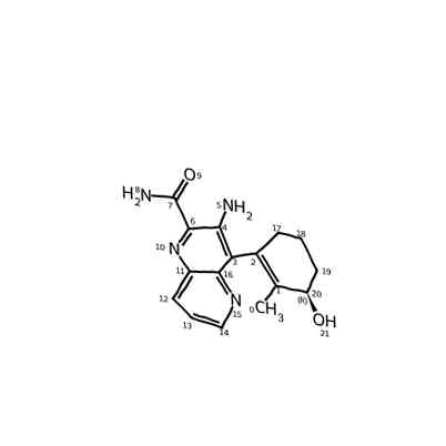 CC1=C(c2c(N)c(C(N)=O)nc3cccnc23)CCC[C@H]1O